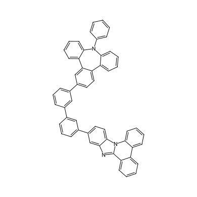 c1ccc(N2c3ccccc3-c3ccc(-c4cccc(-c5cccc(-c6ccc7c(c6)nc6c8ccccc8c8ccccc8n76)c5)c4)cc3-c3ccccc32)cc1